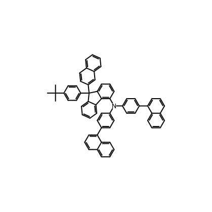 CC(C)(C)c1ccc(C2(c3ccc4ccccc4c3)c3ccccc3-c3c(N(c4ccc(-c5cccc6ccccc56)cc4)c4ccc(-c5cccc6ccccc56)cc4)cccc32)cc1